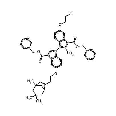 Cc1c(C(=O)OCc2ccccc2)c2cc(OCCCl)ccc2n1-n1cc(C(=O)OCc2ccccc2)c2cc(OCCN3CC4(C)CC3CC(C)(C)C4)ccc21